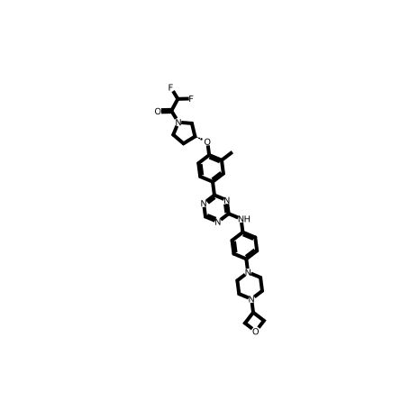 Cc1cc(-c2ncnc(Nc3ccc(N4CCN(C5COC5)CC4)cc3)n2)ccc1O[C@@H]1CCN(C(=O)C(F)F)C1